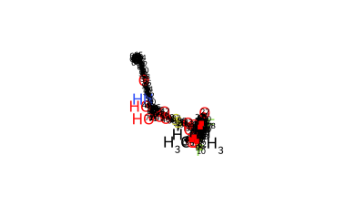 CCC(=O)O[C@]1(C(=O)SCF)[C@H](C)C[C@H]2[C@@H]3C[C@H](F)C4=CC(=O)C=C[C@]4(C)[C@@]3(C)[C@@H](OC(=O)OCCSSCCOC(=O)Oc3ccc(C(O)CNCCCCCOCCCCCc4ccccc4)cc3CO)C[C@@]21C